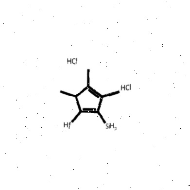 CC1=C(C)C(C)[C]([Hf])=C1[SiH3].Cl.Cl